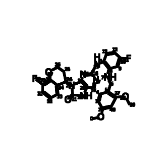 COc1ccc(CNc2cc(F)ccc2Nc2ncc3[nH]c(=O)n(C4CCOc5c(F)cccc54)c3n2)c(OC)c1